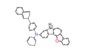 C1=CC(N(c2ccc(C3C=c4ccccc4=CC3)cc2)c2ccc3c(c2)[SiH2]c2ccc4c(oc5ccccc54)c2-3)=CCC1